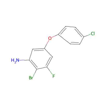 Nc1cc(Oc2ccc(Cl)cc2)cc(F)c1Br